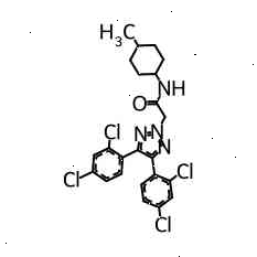 CC1CCC(NC(=O)Cn2nc(-c3ccc(Cl)cc3Cl)c(-c3ccc(Cl)cc3Cl)n2)CC1